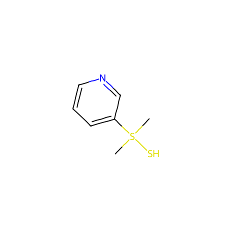 CS(C)(S)c1cccnc1